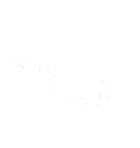 C#Cc1ccc(CNC(=O)[C@@H]2C[C@@H](O)CN2C(=O)[C@@H](NC(=O)N2CCN(CC3CCN(c4cnc(N5CCc6[nH]c7nnc(-c8ccccc8O)cc7c6C5)nc4)CC3)CC2)C(C)(C)C)cc1